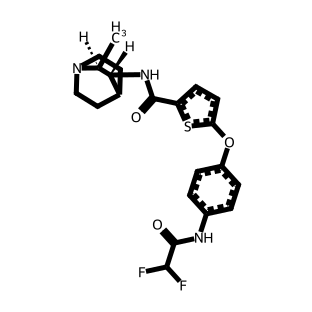 C[C@H]1[C@H](NC(=O)c2ccc(Oc3ccc(NC(=O)C(F)F)cc3)s2)C2CCN1CC2